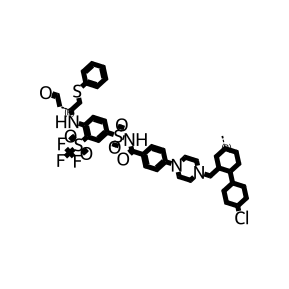 C[C@@H]1CCC(C2CCC(Cl)CC2)C(CN2CCN(c3ccc(C(=O)NS(=O)(=O)c4ccc(N[C@H](CC=O)CSc5ccccc5)c(S(=O)(=O)C(F)(F)F)c4)cc3)CC2)C1